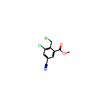 COC(=O)c1cc(C#N)cc(Cl)c1CBr